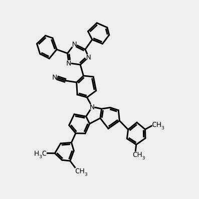 Cc1cc(C)cc(-c2ccc3c(c2)c2cc(-c4cc(C)cc(C)c4)ccc2n3-c2ccc(-c3nc(-c4ccccc4)nc(-c4ccccc4)n3)c(C#N)c2)c1